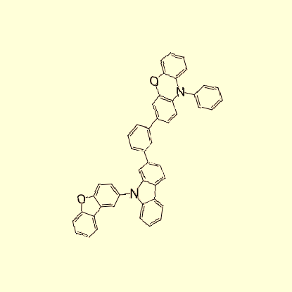 c1ccc(N2c3ccccc3Oc3cc(-c4cccc(-c5ccc6c7ccccc7n(-c7ccc8oc9ccccc9c8c7)c6c5)c4)ccc32)cc1